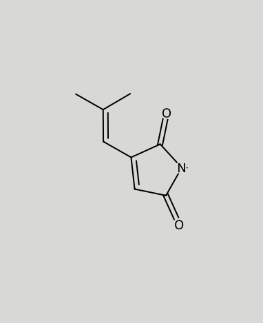 CC(C)=CC1=CC(=O)[N]C1=O